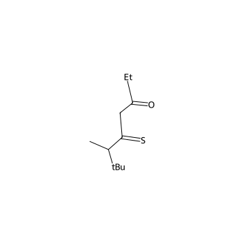 CCC(=O)CC(=S)C(C)C(C)(C)C